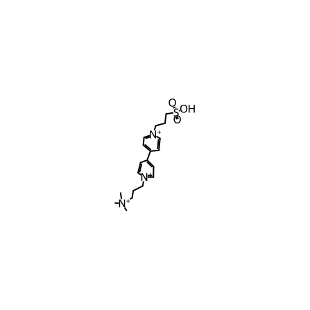 C[N+](C)(C)CCC[n+]1ccc(-c2cc[n+](CCCS(=O)(=O)O)cc2)cc1